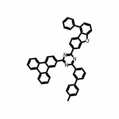 Cc1ccc(-c2cccc(-c3nc(-c4ccc5c(c4)oc4cccc(-c6ccccc6)c45)nc(-c4ccc5c6ccccc6c6ccccc6c5c4)n3)c2)cc1